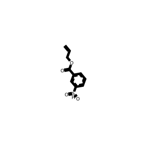 C=CCOC(=O)c1cccc([SH](=O)=O)c1